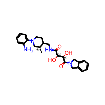 C[C@H]1CN(c2ccccc2N)CCC1CNC(=O)[C@H](O)[C@@H](O)C(=O)N1Cc2ccccc2C1